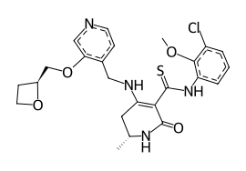 COc1c(Cl)cccc1NC(=S)C1=C(NCc2ccncc2OC[C@@H]2CCO2)C[C@@H](C)NC1=O